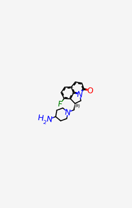 NC1CCN(C[C@@H]2Cn3c(=O)ccc4ccc(F)c2c43)CC1